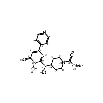 CCN(c1nc(-c2ccncc2)cc(=O)n1C)C1CCN(C(=O)OC)CC1